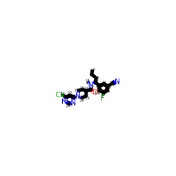 CCCC(c1cc(F)cc(C#N)c1)N(C)C(=O)C1CCN(c2cc(Cl)ncn2)CC1